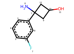 NC1(c2cccc(F)c2)CC(O)C1